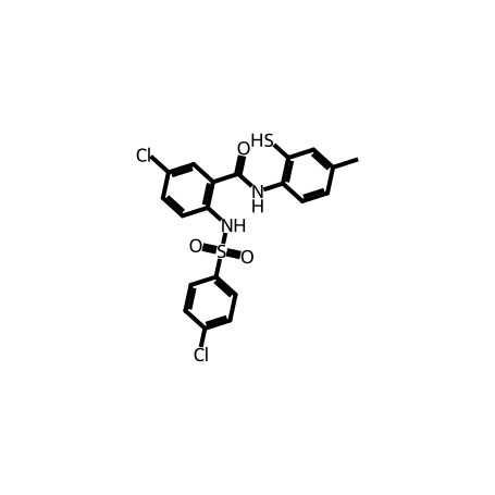 Cc1ccc(NC(=O)c2cc(Cl)ccc2NS(=O)(=O)c2ccc(Cl)cc2)c(S)c1